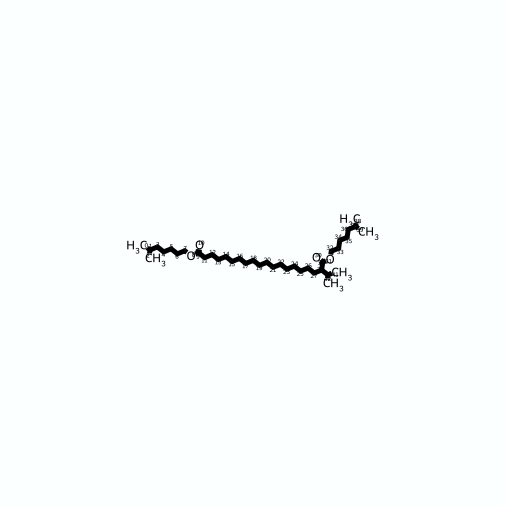 CC(C)CCCCCOC(=O)CCCCCCCCCCCCCCCCCC(C(=O)OCCCCCC(C)C)C(C)C